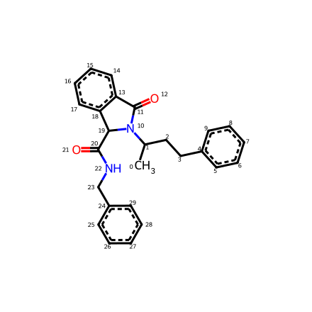 CC(CCc1ccccc1)N1C(=O)c2ccccc2C1C(=O)NCc1ccccc1